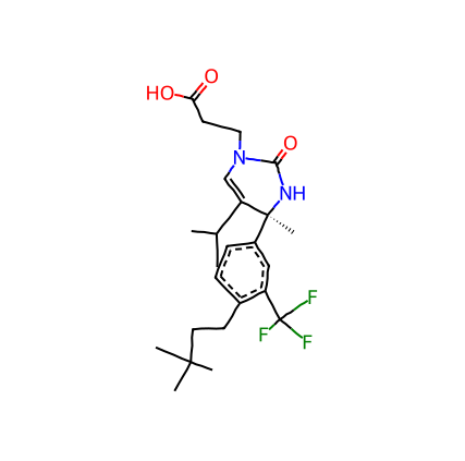 CC(C)C1=CN(CCC(=O)O)C(=O)N[C@@]1(C)c1ccc(CCC(C)(C)C)c(C(F)(F)F)c1